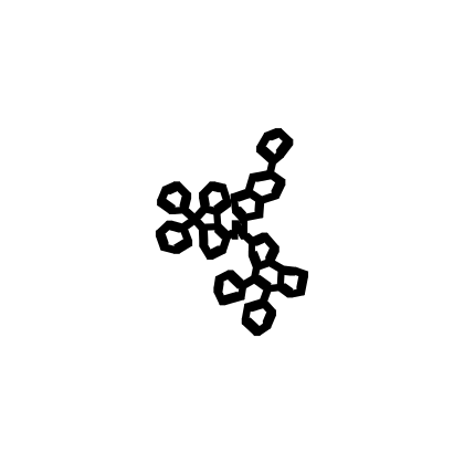 c1ccc(-c2ccc3cc(N(c4ccc5c(c4)c(-c4ccccc4)c(-c4ccccc4)c4ccccc45)c4cccc5c4-c4ccccc4C5(c4ccccc4)c4ccccc4)ccc3c2)cc1